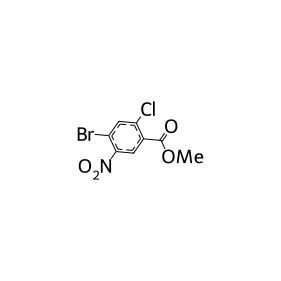 COC(=O)c1cc([N+](=O)[O-])c(Br)cc1Cl